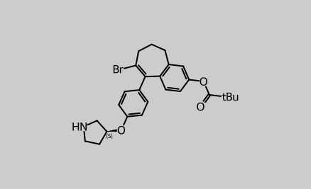 CC(C)(C)C(=O)Oc1ccc2c(c1)CCCC(Br)=C2c1ccc(O[C@H]2CCNC2)cc1